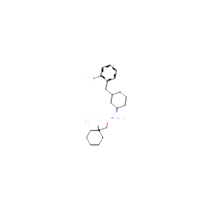 CC1(CONC2CCCC(Cc3ccccc3Cl)C2)CCCCC1